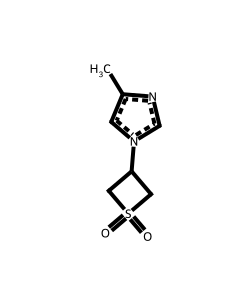 Cc1cn(C2CS(=O)(=O)C2)cn1